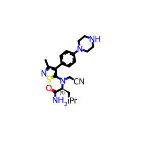 Cc1nsc(N(CC#N)[C@@H](CC(C)C)C(N)=O)c1-c1ccc(N2CCNCC2)cc1